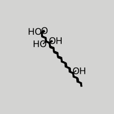 CC/C=C/C[C@H](O)/C=C/C=C/C/C=C/C=C/C=C/C(O)[C@@H](O)CCC(=O)O